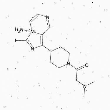 CN(C)CC(=O)N1CCC(C2=C3C=NC=C[N+]3(N)C(I)=N2)CC1